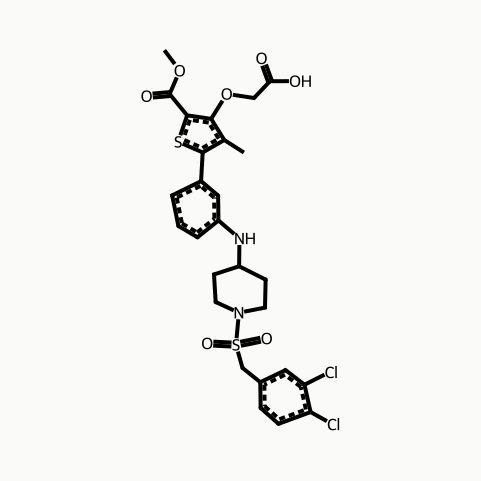 COC(=O)c1sc(-c2cccc(NC3CCN(S(=O)(=O)Cc4ccc(Cl)c(Cl)c4)CC3)c2)c(C)c1OCC(=O)O